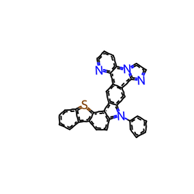 c1ccc(-n2c3cc4c(cc3c3c5sc6ccccc6c5ccc32)c2ncccc2n2ccnc42)cc1